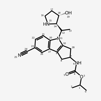 CC(C)OC(=O)NC1Cc2c(n(C(C)[C@H]3NCC[C@@H]3O)c3ccc(C#N)cc23)C1